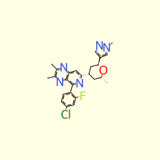 Cc1nc2cc([C@H]3C[C@@H](C)O[C@H](c4cnn(C)c4)C3)nc(-c3ccc(Cl)cc3F)c2nc1C